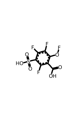 O=C(O)c1c(F)c(S(=O)(=O)O)c(F)c(F)c1OF